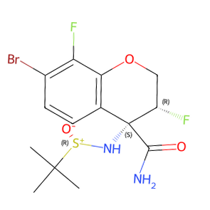 CC(C)(C)[S@+]([O-])N[C@]1(C(N)=O)c2ccc(Br)c(F)c2OC[C@@H]1F